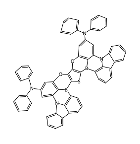 c1ccc(N(c2ccccc2)c2cc3c4c(c2)-n2c5ccccc5c5cccc(c52)B4c2sc4c(c2O3)Oc2cc(N(c3ccccc3)c3ccccc3)cc3c2B4c2cccc4c5ccccc5n-3c24)cc1